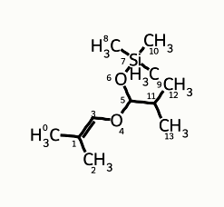 CC(C)=COC(O[Si](C)(C)C)C(C)C